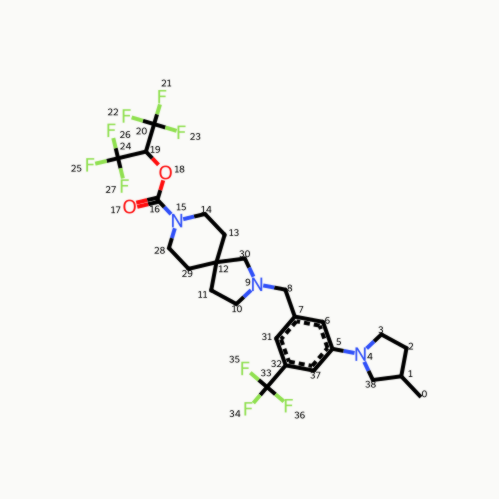 CC1CCN(c2cc(CN3CCC4(CCN(C(=O)OC(C(F)(F)F)C(F)(F)F)CC4)C3)cc(C(F)(F)F)c2)C1